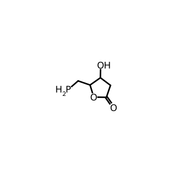 O=C1CC(O)C(CP)O1